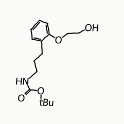 CC(C)(C)OC(=O)NCCCc1ccccc1OCCO